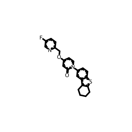 O=c1cc(OCc2ccc(F)cn2)ccn1-c1ccc2sc3c(c2c1)CCCC3